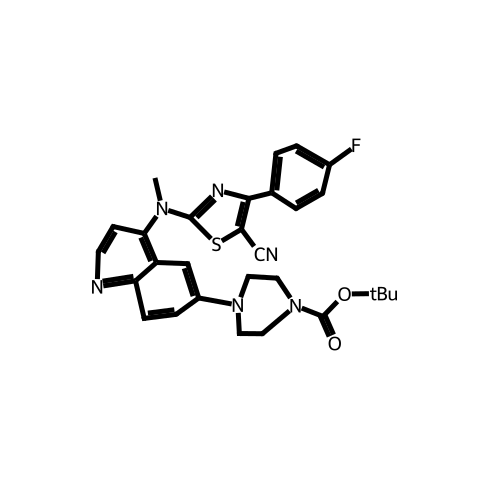 CN(c1nc(-c2ccc(F)cc2)c(C#N)s1)c1ccnc2ccc(N3CCN(C(=O)OC(C)(C)C)CC3)cc12